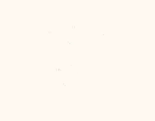 CC(C)n1cc(C(=O)Nc2nccs2)c2ccc(O)cc21